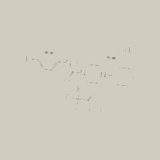 O=C(O)C(F)(F)F.O=C(O)C1CCCCC1N1CCN(C(=O)Nc2ccc(F)cc2)CC1